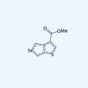 COC(=O)c1csc2c[se]cc12